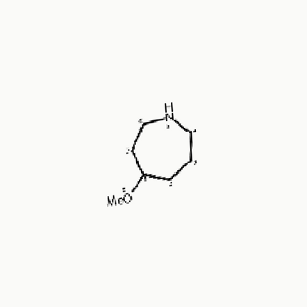 COC1CCCNCC1